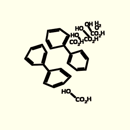 O.O=C(O)O.O=C(O)O.O=C(O)O.O=C(O)O.c1ccc(-c2ccccc2)cc1.c1ccc(-c2ccccc2)cc1